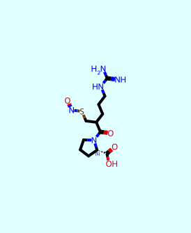 N=C(N)NCCCC(CSN=O)C(=O)N1CCC[C@H]1C(=O)O